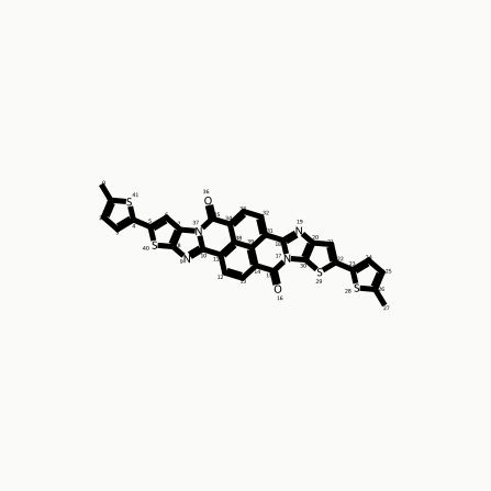 Cc1ccc(-c2cc3c(nc4c5ccc6c(=O)n7c(nc8cc(-c9ccc(C)s9)sc87)c7ccc(c(=O)n34)c5c67)s2)s1